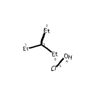 CCC(CC)CC.OCl